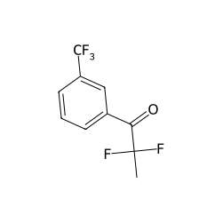 CC(F)(F)C(=O)c1cccc(C(F)(F)F)c1